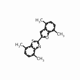 Cc1ccc(C)c2oc(-c3nc4c(C)ccc(C)c4s3)cc12